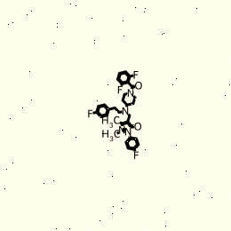 Cc1c(CN(CCc2ccc(F)cc2)C2CCN(C(=O)c3c(F)cccc3F)CC2)c(=O)n(-c2ccc(F)cc2)n1C